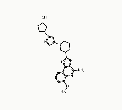 COc1cccc2c1nc(N)n1nc([C@@H]3CCCN(c4cnn([C@H]5CC[C@H](O)C5)c4)C3)nc21